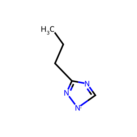 CCCC1=N[N]C=N1